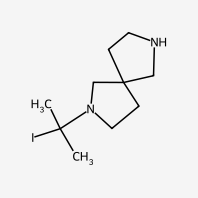 CC(C)(I)N1CCC2(CCNC2)C1